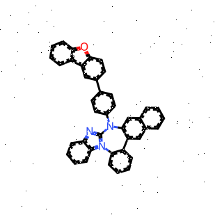 c1ccc2c(c1)-c1cc3ccccc3cc1N(c1ccc(-c3ccc4oc5ccccc5c4c3)cc1)c1nc3ccccc3n1-2